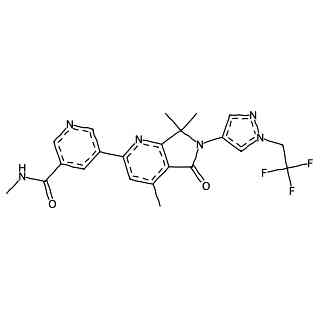 CNC(=O)c1cncc(-c2cc(C)c3c(n2)C(C)(C)N(c2cnn(CC(F)(F)F)c2)C3=O)c1